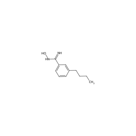 CCCCc1cccc(C(=N)NO)c1